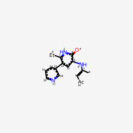 CCc1[nH]c(=O)c(NC(C)=CC(C)=O)cc1-c1cccnc1